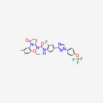 CCOc1ccc(C)cc1N1C(=O)CS/C1=N\C(=O)Nc1ccc(-c2ncn(-c3ccc(OC(F)(F)F)cc3)n2)cc1F